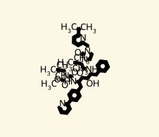 COC(=O)N(CC(C)(C)C)C(=O)NC(Cc1ccc(-c2ccccn2)cc1)CC(O)C(Cc1ccccc1)NC(=O)C(N1CCN(Cc2cccc(C(C)C)n2)C1=O)C(C)(C)C